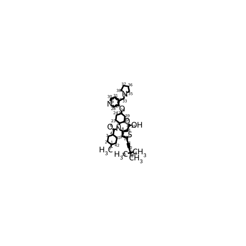 CC1CCC(C(=O)N(c2cc(C#CC(C)(C)C)sc2C(=O)O)C2CCC(Oc3cnccc3CN3CCCC3)CC2)CC1